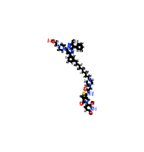 Cc1nn2c(N3CCN(CCO)CC3)cc(-c3cccc(CCCCCCCCCN4CCN(CC(=O)Nc5scc6c5CN(C5CCC(=O)NC5=O)C6=O)CC4)c3)nc2c1-c1ccccc1